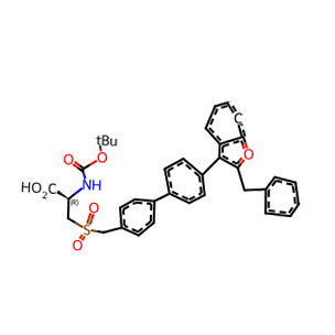 CC(C)(C)OC(=O)N[C@@H](CS(=O)(=O)Cc1ccc(-c2ccc(-c3c(Cc4ccccc4)oc4ccccc34)cc2)cc1)C(=O)O